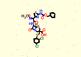 CON=C(C(=O)NC1C(=O)N2CC(CSc3ccc(Cl)cc3Cl)(C(=O)O)CS[C@H]12)c1csc(NC(=O)OCc2ccccc2)n1